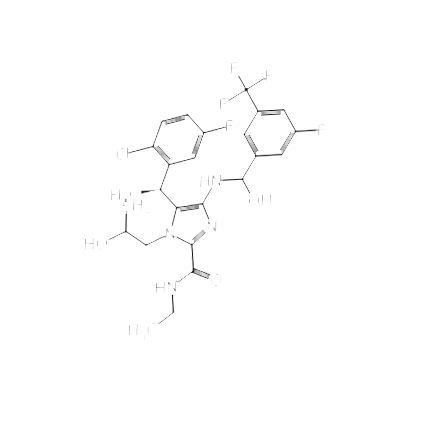 CCNC(=O)c1nc(NC(O)c2cc(F)cc(C(F)(F)F)c2)c([C@@H](C)c2cc(F)ccc2Cl)n1CC(C)O